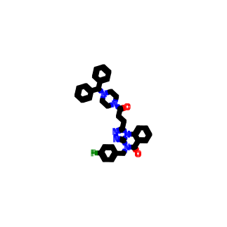 O=C(CCc1nnc2n(Cc3ccc(F)cc3)c(=O)c3ccccc3n12)N1CCN(C(c2ccccc2)c2ccccc2)CC1